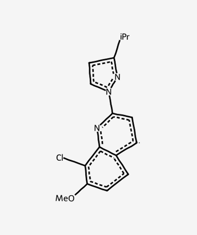 COc1ccc2[c]cc(-n3ccc(C(C)C)n3)nc2c1Cl